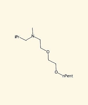 CCCCCOCCOCCN(C)CC(C)C